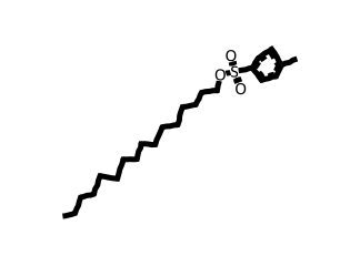 CCCCCCCCCCCCCCCCOS(=O)(=O)c1ccc(C)cc1